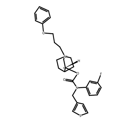 O=C(O[C@H]1C[N+]2(CCCOc3ccccc3)CCC1CC2)N(Cc1ccsc1)c1cccc(F)c1